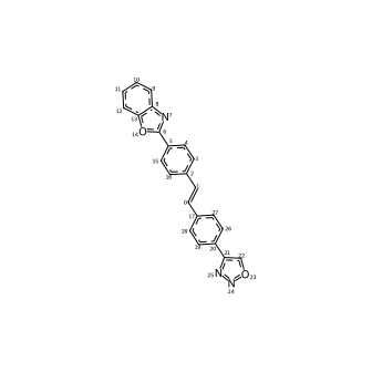 C(=Cc1ccc(-c2nc3ccccc3o2)cc1)c1ccc(-c2conn2)cc1